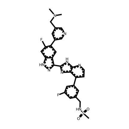 CN(C)Cc1cncc(-c2cc3c(-c4nc5c(-c6cc(F)cc(CNS(C)(=O)=O)c6)ccnc5[nH]4)n[nH]c3cc2F)c1